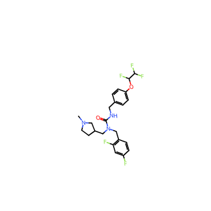 CN1CCC(CN(Cc2ccc(F)cc2F)C(=O)NCc2ccc(OC(F)C(F)F)cc2)C1